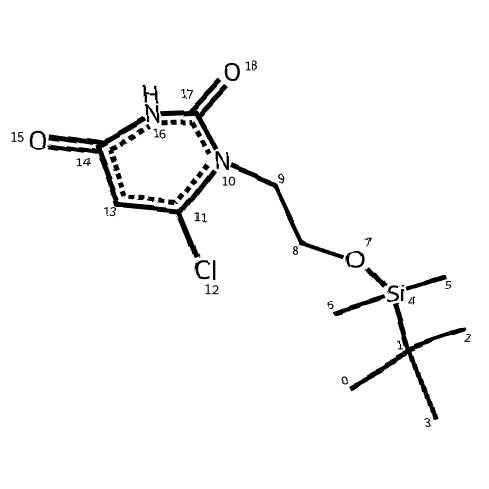 CC(C)(C)[Si](C)(C)OCCn1c(Cl)cc(=O)[nH]c1=O